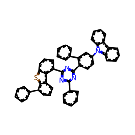 c1ccc(-c2nc(-c3ccc(-n4c5ccccc5c5ccccc54)cc3-c3ccccc3)nc(-c3cccc4sc5c(-c6ccccc6)cccc5c34)n2)cc1